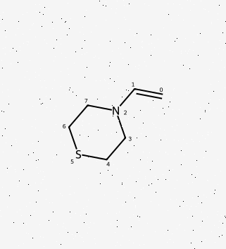 C=CN1CCSCC1